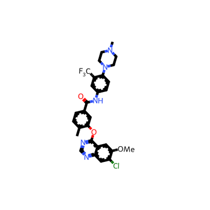 COc1cc2c(Oc3cc(C(=O)Nc4ccc(N5CCN(C)CC5)c(C(F)(F)F)c4)ccc3C)ncnc2cc1Cl